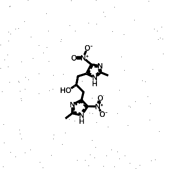 Cc1nc([N+](=O)[O-])c(CC(O)Cc2nc(C)[nH]c2[N+](=O)[O-])[nH]1